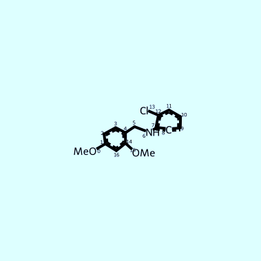 COc1ccc(CNc2ccccc2Cl)c(OC)c1